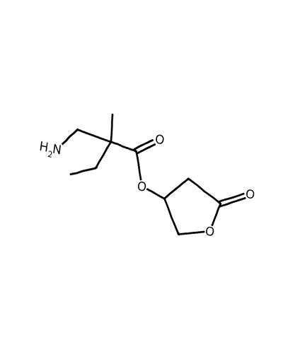 CCC(C)(CN)C(=O)OC1COC(=O)C1